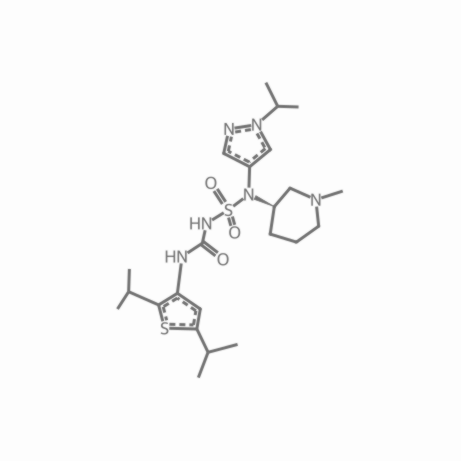 CC(C)c1cc(NC(=O)NS(=O)(=O)N(c2cnn(C(C)C)c2)[C@@H]2CCCN(C)C2)c(C(C)C)s1